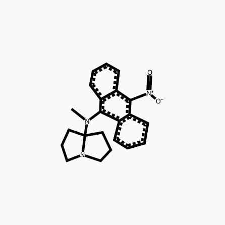 CN(c1c2ccccc2c([N+](=O)[O-])c2ccccc12)C12CCCN1CCC2